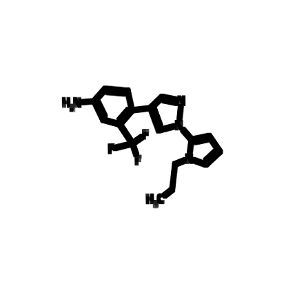 CCCn1cccc1-n1cc(-c2ccc(N)cc2C(F)(F)F)cn1